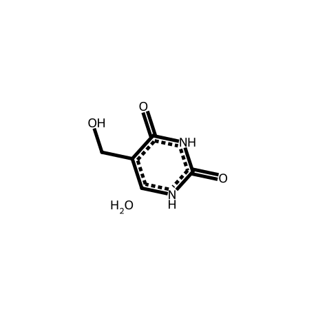 O.O=c1[nH]cc(CO)c(=O)[nH]1